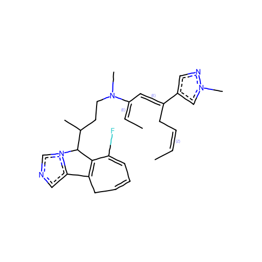 C/C=C\C/C(=C\C(=C/C)N(C)CCC(C)C1C2=C(CC=CC=C2F)c2cncn21)c1cnn(C)c1